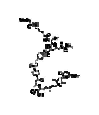 CSCC(=O)NCCCCCC(=O)N[C@H](C(=O)N[C@@H](CCCNC(N)=O)C(=O)Nc1ccc(COC(=O)N2CCN(C(=O)C[C@@H]3C[C@@]4(CO4)[C@H](O)[C@@H](/C=C/C(C)=C/C[C@@H]4O[C@H](C)[C@H](NC(=O)/C=C\[C@H](C)OC(C)=O)C[C@@H]4C)O3)CC2)cc1)C(C)C